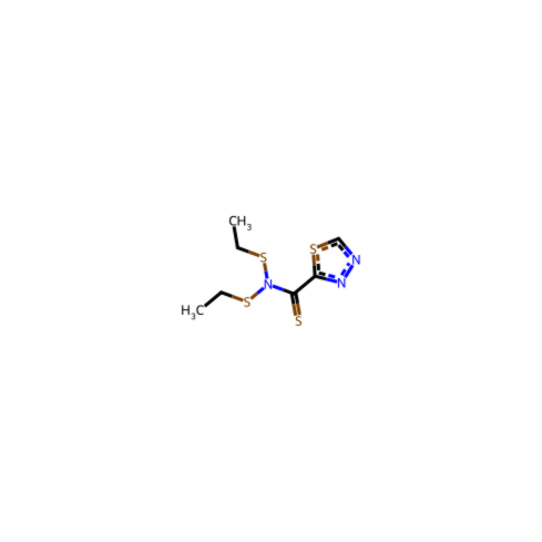 CCSN(SCC)C(=S)c1nncs1